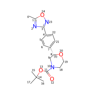 Cc1nc(-c2ccc([C@H]3CN(C(=O)OC(C)(C)C)CCO3)cc2)no1